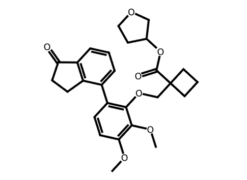 COc1ccc(-c2cccc3c2CCC3=O)c(OCC2(C(=O)OC3CCOC3)CCC2)c1OC